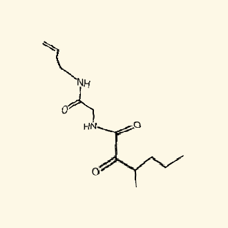 C=CCNC(=O)CNC(=O)C(=O)C(C)CCC